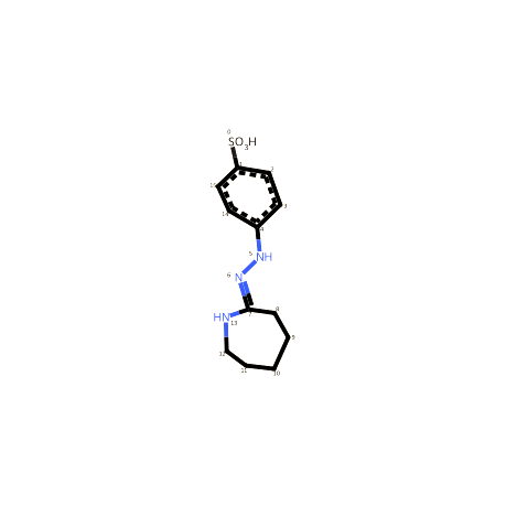 O=S(=O)(O)c1ccc(NN=C2CCCCCN2)cc1